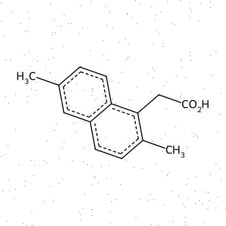 Cc1ccc2c(CC(=O)O)c(C)ccc2c1